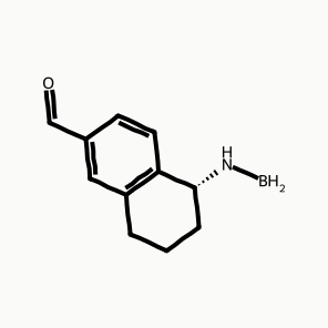 BN[C@@H]1CCCc2cc(C=O)ccc21